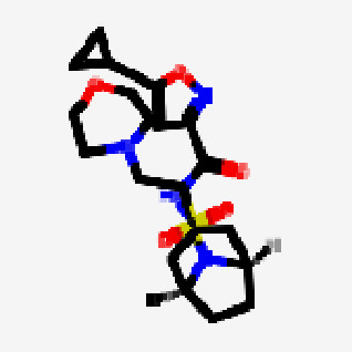 O=C(N[C@H]1C[C@H]2CC[C@@H](C1)N2S(=O)(=O)CCN1CCOCC1)c1cc(C2CC2)on1